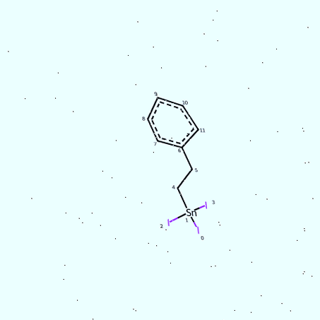 [I][Sn]([I])([I])[CH2]Cc1ccccc1